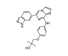 CC(C)(O)COc1ccc(Nc2nc(-c3ccc4cn[nH]c4c3)cn3ccnc23)cc1